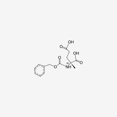 C[C@](CCC(=O)O)(NC(=O)OCc1ccccc1)C(=O)O